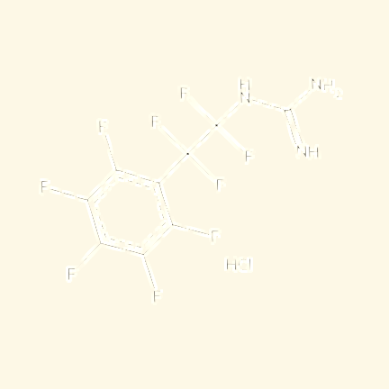 Cl.N=C(N)NC(F)(F)C(F)(F)c1c(F)c(F)c(F)c(F)c1F